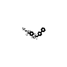 O=C(Cc1ccc(-c2ccccc2)cc1)Oc1ccc(C(=O)NCP=S)cc1[N+](=O)[O-]